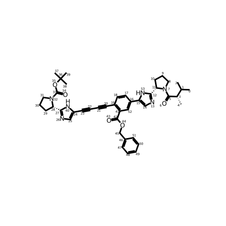 CC(C)[C@H](C)C(=O)N1CCC[C@H]1c1ncc(-c2ccc(C#CC#Cc3cnc([C@@H]4CCCN4C(=O)OC(C)(C)C)[nH]3)c(C(=O)OCc3ccccc3)c2)[nH]1